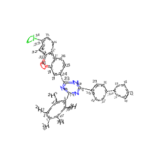 [2H]c1c([2H])c([2H])c(-c2nc(-c3ccc(-c4ccccc4)cc3)nc(-c3ccc4c(c3)oc3cc(Cl)ccc34)n2)c([2H])c1[2H]